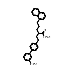 COC(=O)C(CCCc1cccc2ccccc12)CCc1ccc(-c2cccc(OC)c2)cc1